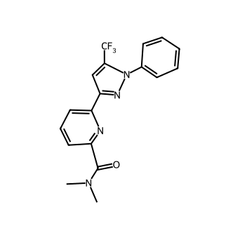 CN(C)C(=O)c1cccc(-c2cc(C(F)(F)F)n(-c3ccccc3)n2)n1